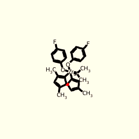 CC1=CC[C]([Zr]([O]c2ccc(F)cc2)([O]c2ccc(F)cc2)([C]2=C(C)C=C(C)C2)=[Si](C)C)=C1